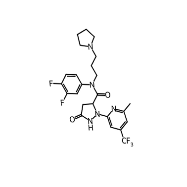 Cc1cc(C(F)(F)F)cc(N2NC(=O)CC2C(=O)N(CCCN2CCCC2)c2ccc(F)c(F)c2)n1